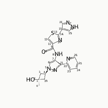 C[C@]1(O)C[C@@H](n2cc(NC(=O)c3csc(-c4cn[nH]c4)n3)c(-c3ccccn3)n2)C1